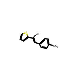 N#C/C(=C\c1ccc([N+](=O)[O-])cc1)c1cccs1